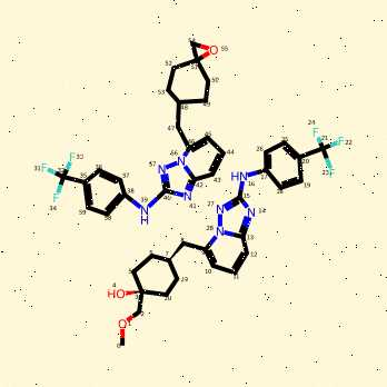 COC[C@]1(O)CC[C@@H](Cc2cccc3nc(Nc4ccc(C(F)(F)F)cc4)nn23)CC1.FC(F)(F)c1ccc(Nc2nc3cccc(CC4CCC5(CC4)CO5)n3n2)cc1